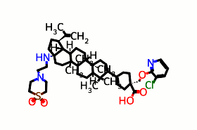 C=C(C)[C@@H]1CC[C@]2(NCCN3CCS(=O)(=O)CC3)CC[C@]3(C)[C@H](CC[C@@H]4[C@@]5(C)CC=C(C6=CC[C@](COc7ncccc7Cl)(C(=O)O)CC6)C(C)(C)[C@@H]5CC[C@]43C)[C@@H]12